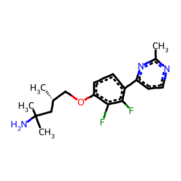 Cc1nccc(-c2ccc(OC[C@@H](C)CC(C)(C)N)c(F)c2F)n1